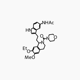 CCOc1cc2c(cc1OC)CCN(C(=O)N1CCOCC1)C2CCc1c[nH]c2ccc(NC(C)=O)cc12